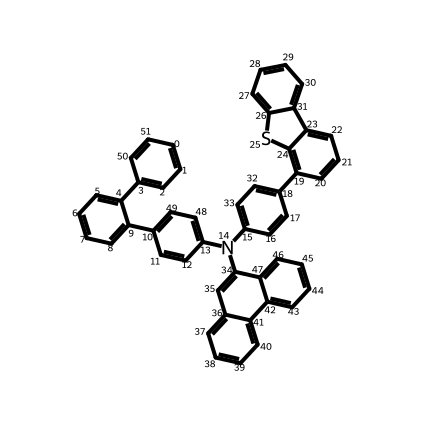 c1ccc(-c2ccccc2-c2ccc(N(c3ccc(-c4cccc5c4sc4ccccc45)cc3)c3cc4ccccc4c4ccccc34)cc2)cc1